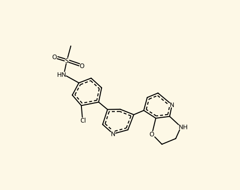 CS(=O)(=O)Nc1ccc(-c2cncc(-c3ccnc4c3OCCN4)c2)c(Cl)c1